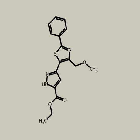 CCOC(=O)c1cc(-c2sc(-c3ccccc3)nc2COC)n[nH]1